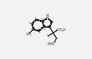 CC(CC=O)(C(=O)O)c1c[nH]c2ccc(Cl)cc12